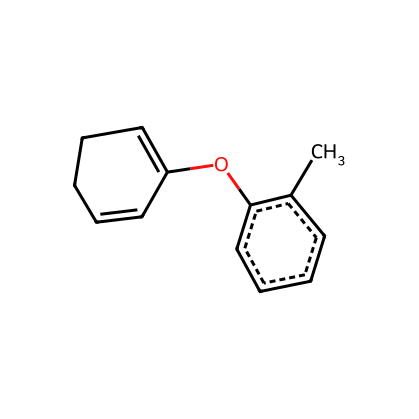 Cc1ccccc1OC1=CCCC=C1